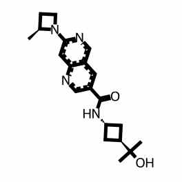 C[C@H]1CCN1c1cc2ncc(C(=O)N[C@H]3C[C@H](C(C)(C)O)C3)cc2cn1